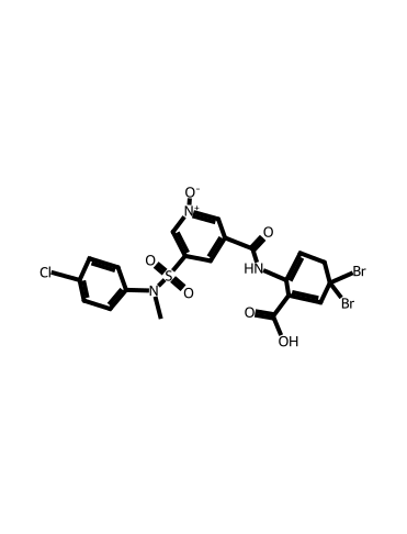 CN(c1ccc(Cl)cc1)S(=O)(=O)c1cc(C(=O)NC2=CCC(Br)(Br)C=C2C(=O)O)c[n+]([O-])c1